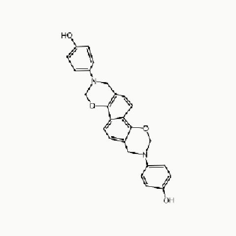 Oc1ccc(N2COc3c(ccc4c5c(ccc34)CN(c3ccc(O)cc3)CO5)C2)cc1